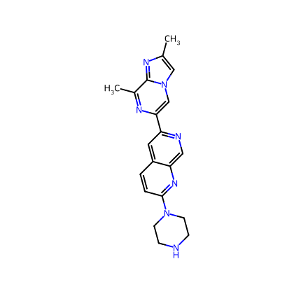 Cc1cn2cc(-c3cc4ccc(N5CCNCC5)nc4cn3)nc(C)c2n1